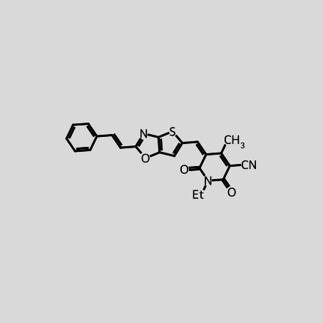 CCN1C(=O)C(C#N)=C(C)/C(=C/c2cc3oc(/C=C/c4ccccc4)nc3s2)C1=O